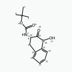 CC(C)(C)OC(=O)N[C@H]1Cc2ccccc2N(O)C1=O